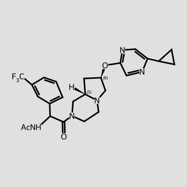 CC(=O)NC(C(=O)N1CCN2C[C@H](Oc3cnc(C4CC4)cn3)C[C@H]2C1)c1cccc(C(F)(F)F)c1